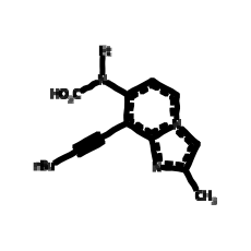 CCCCC#Cc1c(N(CC)C(=O)O)ccn2cc(C)nc12